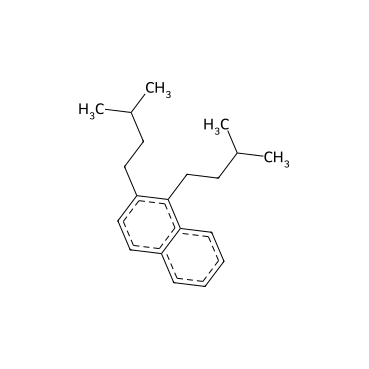 CC(C)CCc1ccc2ccccc2c1CCC(C)C